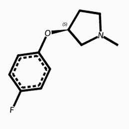 CN1CC[C@H](Oc2ccc(F)cc2)C1